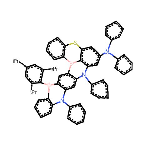 CC(C)c1cc(C(C)C)c(B2c3ccccc3N(c3ccccc3)c3cc4c(cc32)B2c3ccccc3Sc3cc(N(c5ccccc5)c5ccccc5)cc(c32)N4c2ccccc2)c(C(C)C)c1